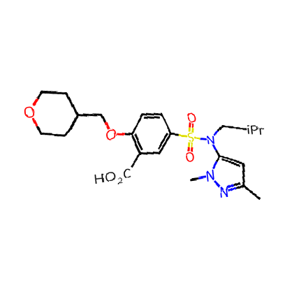 Cc1cc(N(CC(C)C)S(=O)(=O)c2ccc(OCC3CCOCC3)c(C(=O)O)c2)n(C)n1